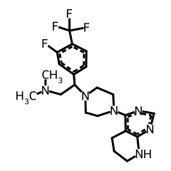 CN(C)CC(c1ccc(C(F)(F)F)c(F)c1)N1CCN(c2ncnc3c2CCCN3)CC1